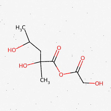 CC(O)CC(C)(O)C(=O)OC(=O)CO